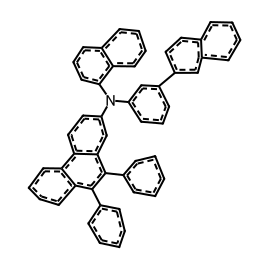 c1ccc(-c2c(-c3ccccc3)c3cc(N(c4cccc(-c5ccc6ccccc6c5)c4)c4cccc5ccccc45)ccc3c3ccccc23)cc1